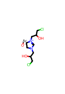 CC(=O)[O-].OC(CCl)CN1C=[N+](CC(O)CCl)CC1